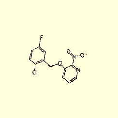 O=[N+]([O-])c1ncccc1OCc1cc(F)ccc1Cl